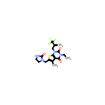 C=C(Cn1c(=O)n(CC)c(=O)c2c(C)c(CN3CCNC3=O)sc21)C(F)(F)F